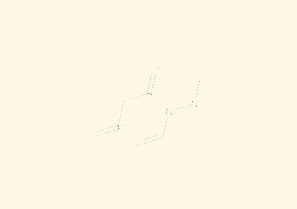 CN(C)N1C=CC(=S)CC1=O